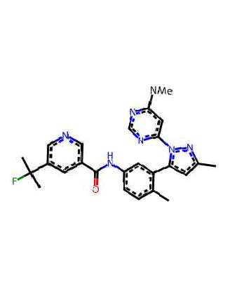 CNc1cc(-n2nc(C)cc2-c2cc(NC(=O)c3cncc(C(C)(C)F)c3)ccc2C)ncn1